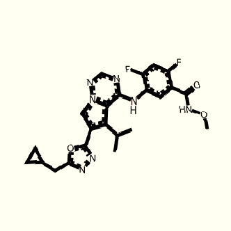 CONC(=O)c1cc(Nc2ncnn3cc(-c4nnc(CC5CC5)o4)c(C(C)C)c23)c(F)cc1F